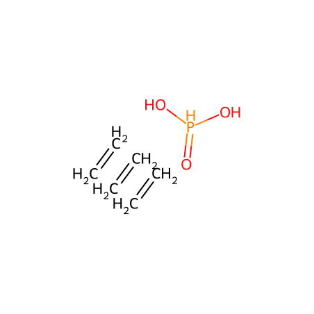 C=C.C=C.C=C.O=[PH](O)O